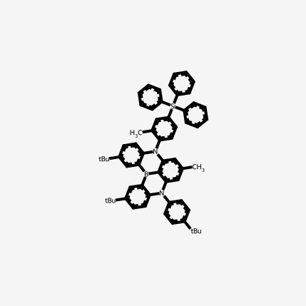 Cc1cc2c3c(c1)N(c1ccc([Si](c4ccccc4)(c4ccccc4)c4ccccc4)cc1C)c1ccc(C(C)(C)C)cc1B3c1cc(C(C)(C)C)ccc1N2c1ccc(C(C)(C)C)cc1